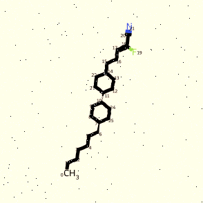 CCCCCCC[C@H]1CC[C@H](C2CCC(CCC=C(F)C#N)CC2)CC1